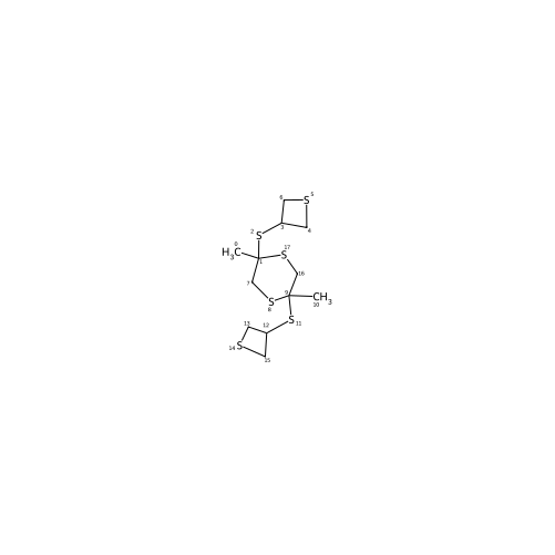 CC1(SC2CSC2)CSC(C)(SC2CSC2)CS1